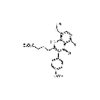 CCCOc1ccc(F)c2c(=O)c(-c3ccc(OC)cc3)c(CCCC(=O)OCC)[nH]c12